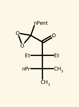 CCCCCC1(C(=O)C(CC)(CC)C(C)(C)CCC)OO1